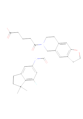 CC1(C)CCc2cc(NC(=O)[C@H]3c4cc5c(cc4CCN3C(=O)CCCC(=O)O)OCC5)cc(F)c21